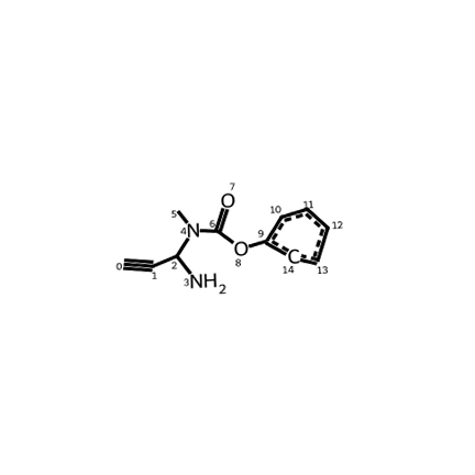 C#CC(N)N(C)C(=O)Oc1ccccc1